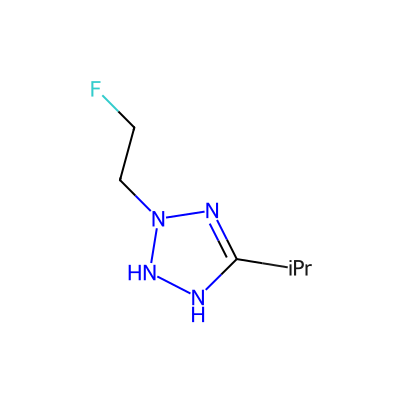 CC(C)C1=NN(CCF)NN1